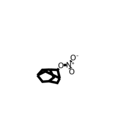 O=[N+]([O-])OC1C2CC3CC(C2)CC1C3